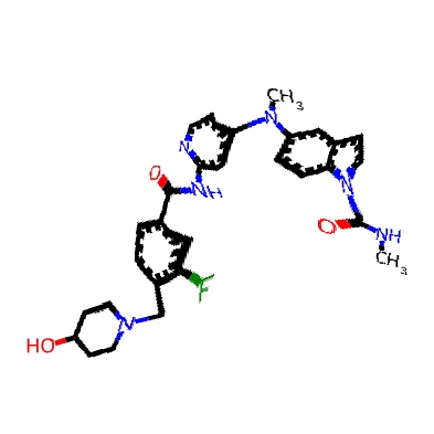 CNC(=O)n1ccc2cc(N(C)c3ccnc(NC(=O)c4ccc(CN5CCC(O)CC5)c(F)c4)c3)ccc21